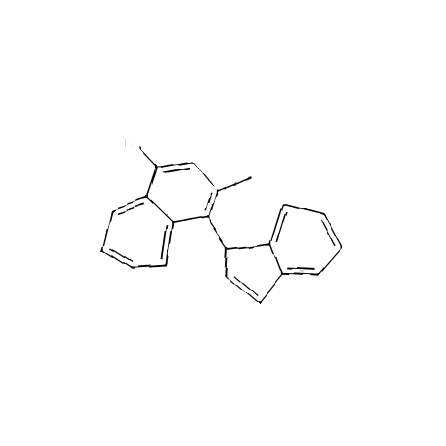 Cc1cc(Br)c2ccccc2c1C1C=Cc2ccccc21